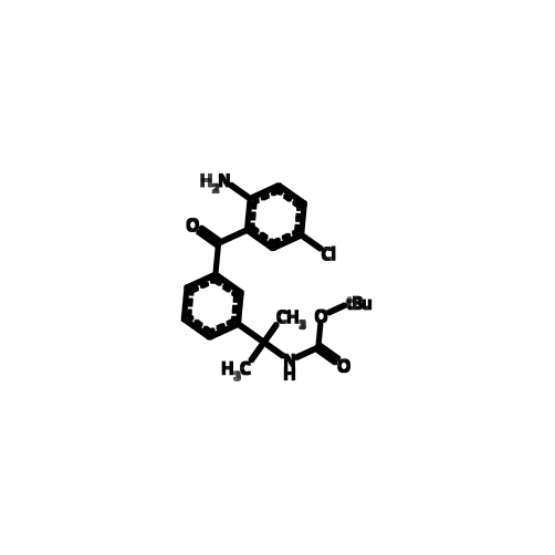 CC(C)(C)OC(=O)NC(C)(C)c1cccc(C(=O)c2cc(Cl)ccc2N)c1